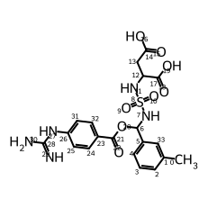 Cc1cccc(C(NS(=O)(=O)NC(CC(=O)O)C(=O)O)OC(=O)c2ccc(NC(=N)N)cc2)c1